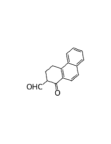 O=CC1CCc2c(ccc3ccccc23)C1=O